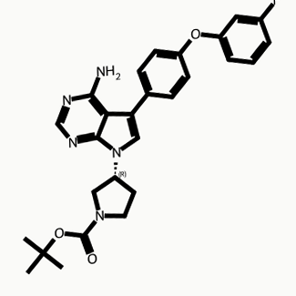 CC(C)(C)OC(=O)N1CC[C@@H](n2cc(-c3ccc(Oc4cccc(F)c4)cc3)c3c(N)ncnc32)C1